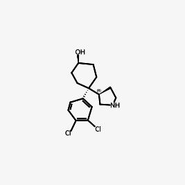 O[C@H]1CC[C@@](c2ccc(Cl)c(Cl)c2)([C@H]2CCNC2)CC1